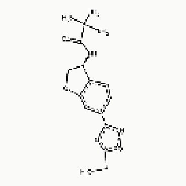 BC(B)(B)C(=O)N[C@@H]1COc2cc(-c3noc(CC)n3)ccc21